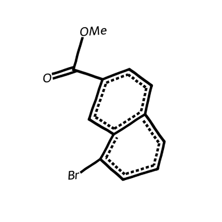 COC(=O)c1ccc2cccc(Br)c2c1